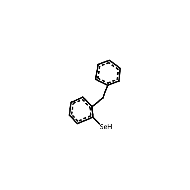 [SeH]c1ccccc1Cc1ccccc1